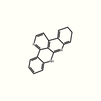 C1=c2nc3c4c(nccc4c2=CCC1)-c1ccccc1N3